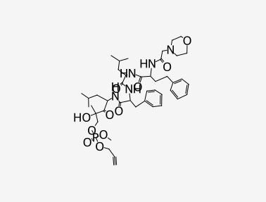 C#CCOP(=O)(OC)OCC(C)(O)C(=O)C(CC(C)C)NC(=O)C(Cc1ccccc1)NC(=O)C(CC(C)C)NC(=O)C(CCc1ccccc1)NC(=O)CN1CCOCC1